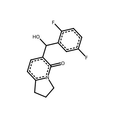 O=c1c(C(O)c2cc(F)ccc2F)ccc2n1CCC2